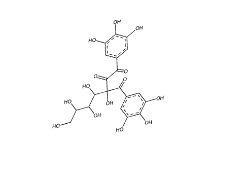 O=C(C(=O)C(O)(C(=O)c1cc(O)c(O)c(O)c1)C(O)C(O)C(O)CO)c1cc(O)c(O)c(O)c1